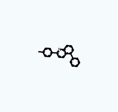 Cc1ccc(-c2ccc3c(-c4ccccc4)cccc3n2)cc1